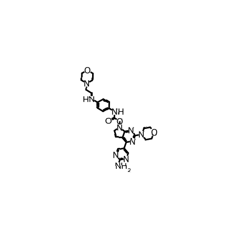 Nc1ncc(-c2nc(N3CCOCC3)nc3c2CCN3OC(=O)Nc2ccc(NCCN3CCOCC3)cc2)cn1